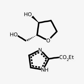 CCOC(=O)c1ncc[nH]1.OC[C@H]1OCC[C@@H]1O